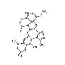 Cn1ncc(-c2cc3c(CN)n[nH]c(=O)c3c(C(F)F)n2)c1-c1c(F)cc2c(c1C#N)OC1(CC1)CN2C(F)(F)F